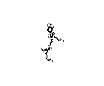 Cc1ccc(S(=O)(=O)C(CCCCN)C(=O)OCCCCOC(=O)C(N)CCCCN)cc1